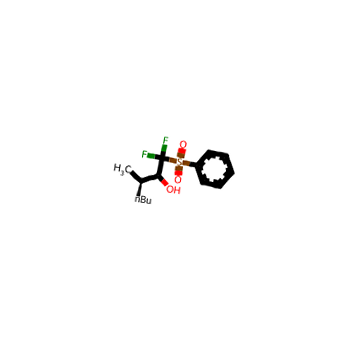 CCCC[C@@H](C)C(O)C(F)(F)S(=O)(=O)c1ccccc1